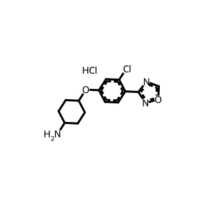 Cl.NC1CCC(Oc2ccc(-c3ncon3)c(Cl)c2)CC1